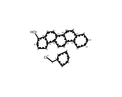 ClCc1ccccc1.Oc1cccc2c1ccc1c2ccc2c3ccccc3ccc21